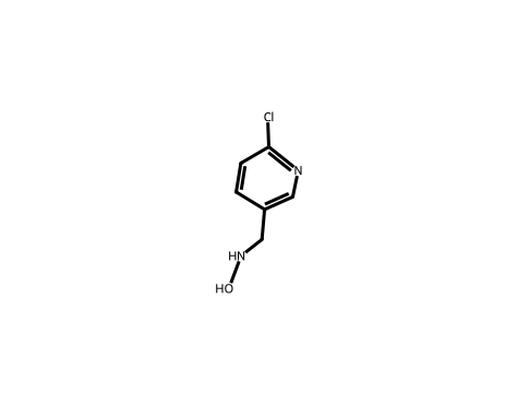 ONCc1ccc(Cl)nc1